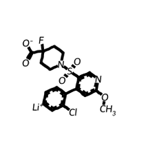 COc1cc(-c2ccccc2Cl)c(S(=O)(=O)N2CCC(F)(C(=O)[O-])CC2)cn1.[Li+]